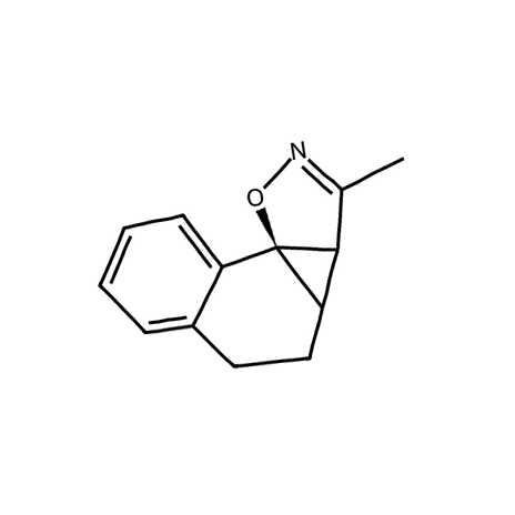 CC1=NO[C@]23c4ccccc4CCC2C13